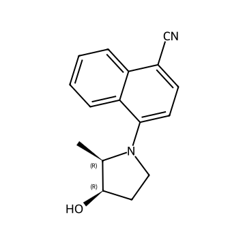 C[C@@H]1[C@H](O)CCN1c1ccc(C#N)c2ccccc12